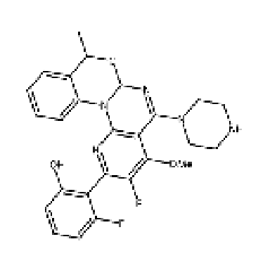 COc1c(F)c(-c2c(O)cccc2F)nc2c1C(N1CCNCC1)=NC1OC(C)c3ccccc3N21